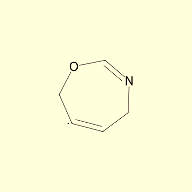 [C]1=CCN=COC1